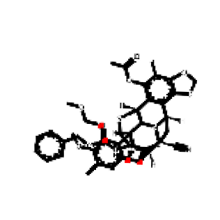 COCOc1c(OC)c(C)cc2c1[C@@H]1C3[C@@H]4SC[C@H](NC(=O)OCc5ccccc5)C(=O)OC[C@@H](c5c6c(c(C)c(OC(C)=O)c54)OCO6)N3[C@@H](C#N)[C@H](C2)N1C